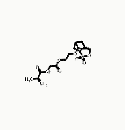 C=C(C)C(=O)NCC(=O)OCCOC1C2CC3C1OS(=O)(=O)C3C2